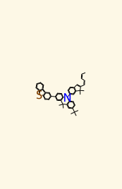 C/C=C\C=C/C1=Cc2ccc(N3c4ccc(-c5ccc6sc7ccccc7c6c5)cc4C(C)(C)c4cc(C(C)(C)C)ccc43)cc2C1(C)C